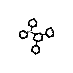 c1ccc(-c2cc(-c3ccccc3)cc([SiH](c3ccccc3)c3ccccc3)c2)cc1